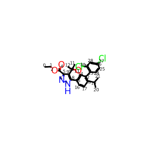 CCOC(=O)c1n[nH]c2c1C(C)(C)Oc1c-2ccc(C(C)C)c1-c1ccc(Cl)cc1Cl